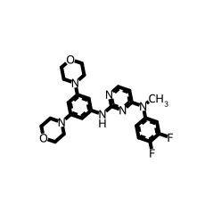 CN(c1ccc(F)c(F)c1)c1ccnc(Nc2cc(N3CCOCC3)cc(N3CCOCC3)c2)n1